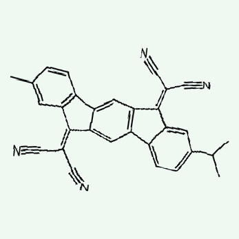 Cc1ccc2c(c1)C(=C(C#N)C#N)c1cc3c(cc1-2)C(=C(C#N)C#N)c1cc(C(C)C)ccc1-3